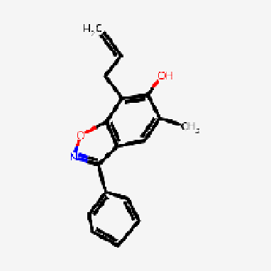 C=CCc1c(O)c(C)cc2c(-c3ccccc3)noc12